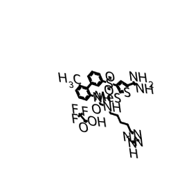 CSc1sc(C(=N)N)cc1S(=O)(=O)c1cccc(-c2c(C)cccc2NC(=O)NCCCCc2nn[nH]n2)c1.O=C(O)C(F)(F)F